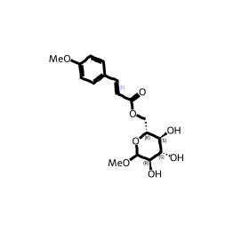 COc1ccc(/C=C/C(=O)OC[C@H]2OC(OC)[C@H](O)[C@@H](O)[C@@H]2O)cc1